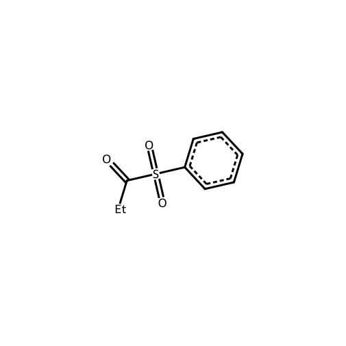 [CH2]CC(=O)S(=O)(=O)c1ccccc1